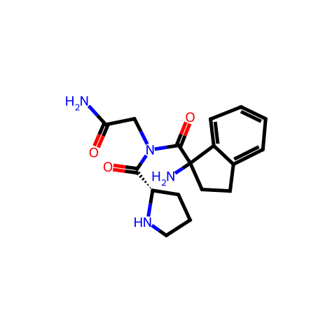 NC(=O)CN(C(=O)[C@@H]1CCCN1)C(=O)C1(N)CCc2ccccc21